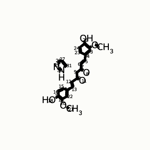 COc1cc(C=CC(=O)CC(=O)C=Cc2ccc(O)c(OC)c2)ccc1O.c1cn[nH]c1